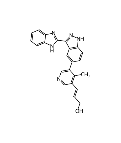 Cc1c(C=CCO)cncc1-c1ccc2[nH]nc(-c3nc4ccccc4[nH]3)c2c1